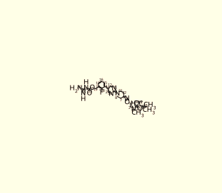 CN(CCON=C1CCN(c2ncc(-c3cccc(COC(=O)NC(=N)N)c3F)cn2)CC1)C(=O)OC(C)(C)C